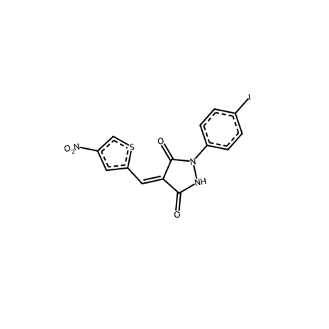 O=C1NN(c2ccc(I)cc2)C(=O)/C1=C\c1cc([N+](=O)[O-])cs1